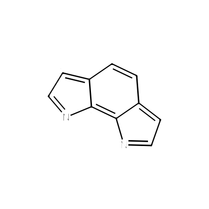 C1=Nc2c3c(ccc2=C1)=CC=N3